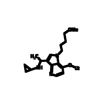 CCOc1ccnc2c(C(C)NC3CC3)cn(CCCCOC)c12